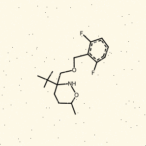 CC1CCC(COCc2c(F)cccc2F)(C(C)(C)C)NO1